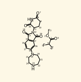 O=C(OF)C(F)F.O=C1CCC(N2C(=O)c3ccc(N4CCCNCC4)cc3C2=O)C(=O)N1